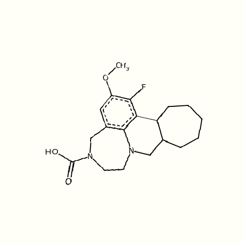 COc1cc2c3c(c1F)C1CCCCCC1CN3CCN(C(=O)O)C2